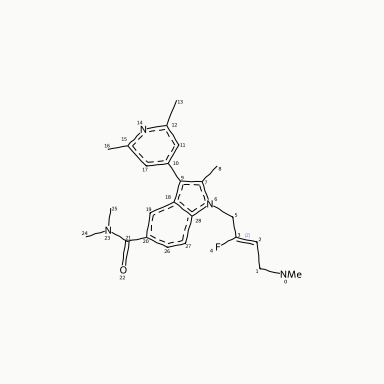 CNC/C=C(\F)Cn1c(C)c(-c2cc(C)nc(C)c2)c2cc(C(=O)N(C)C)ccc21